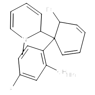 Br.CCC1C=CC=CC1(c1ccc(F)cc1O)C1C=CC=CN1C